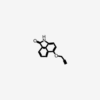 C#CCOc1ccc2c3c(cccc13)C(=O)N2